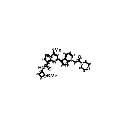 CNc1cc(-c2cnc3n(CC(=O)N4CCOCC4)cccc2-3)nc2c(C(=O)N[C@H]3CC[C@@H]3OC)cnn12